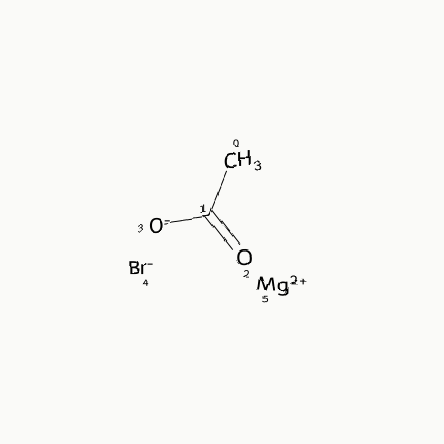 CC(=O)[O-].[Br-].[Mg+2]